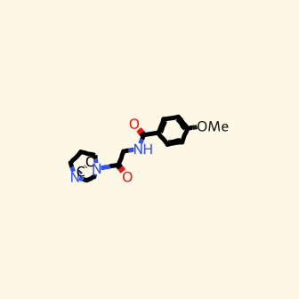 COc1ccc(C(=O)NCC(=O)N2CCN3CCC2CC3)cc1